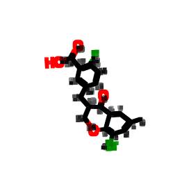 Cc1cc(Br)c2c(c1)C(=O)C(Cc1ccc(F)c(C(=O)O)c1)CO2